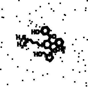 Cc1c(F)cccc1C1C(C(=O)c2cccc(O)c2)CN(CCCCN(C)C)CC1C(=O)N1CCC[C@H]1CO